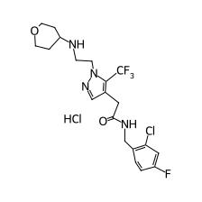 Cl.O=C(Cc1cnn(CCNC2CCOCC2)c1C(F)(F)F)NCc1ccc(F)cc1Cl